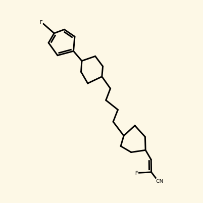 N#CC(F)=CC1CCC(CCCCC2CCC(c3ccc(F)cc3)CC2)CC1